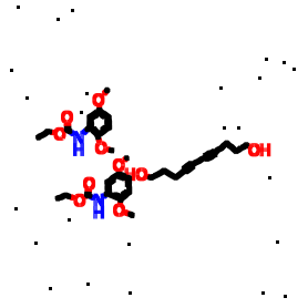 CCOC(=O)Nc1cc(OC)ccc1OC.CCOC(=O)Nc1cc(OC)ccc1OC.OCCCC#CC#CCCCO